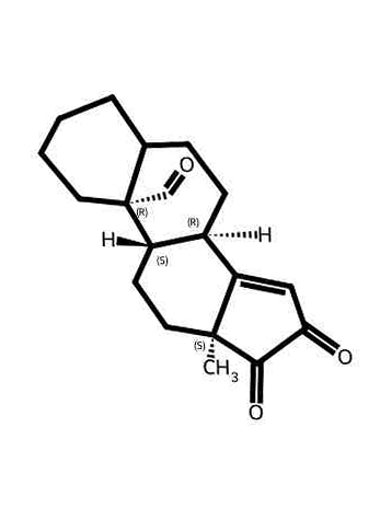 C[C@]12CC[C@H]3[C@@H](CCC4CCCC[C@@]43C=O)C1=CC(=O)C2=O